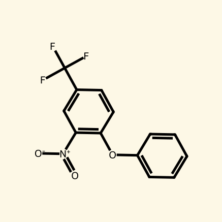 O=[N+]([O-])c1cc(C(F)(F)F)ccc1Oc1ccccc1